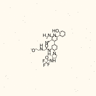 COCCNCC(=O)Nc1cc(-c2cc(-c3ccccc3O)nc(N)c2C#N)ccc1N1CCC(NC(=O)C(F)(F)F)C1